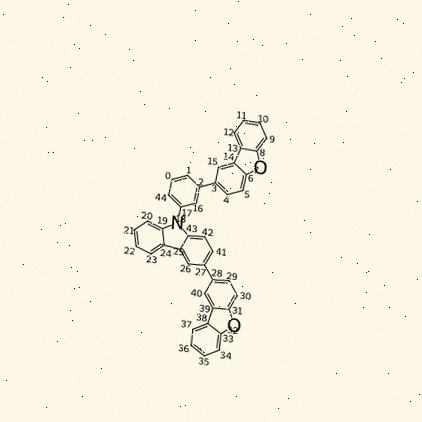 c1cc(-c2ccc3oc4ccccc4c3c2)cc(-n2c3ccccc3c3cc(-c4ccc5oc6ccccc6c5c4)ccc32)c1